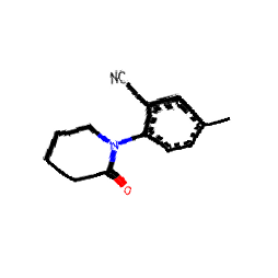 Cc1ccc(N2CCCCC2=O)c(C#N)c1